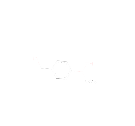 COB(O)c1ccc(CO)cc1